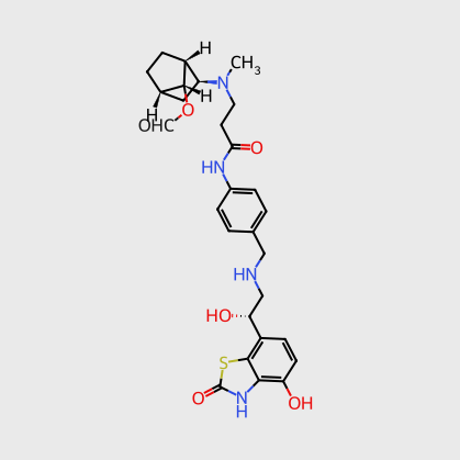 CN(CCC(=O)Nc1ccc(CNC[C@@H](O)c2ccc(O)c3[nH]c(=O)sc23)cc1)[C@H]1C[C@@H]2CC[C@H]1[C@@H]2OC=O